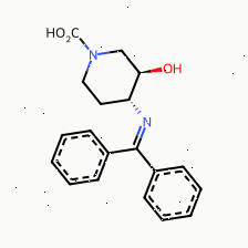 O=C(O)N1CC[C@@H](N=C(c2ccccc2)c2ccccc2)[C@H](O)C1